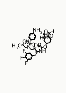 CC(C)CN(C[C@@H](O)[C@H](Cc1cc(F)c(F)c(F)c1)NC(=O)OC1C[C@@H]2CO[C@@H]3OC1C[C@H]23)S(=O)(=O)c1ccc(N)cc1